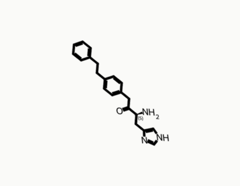 N[C@@H](Cc1c[nH]cn1)C(=O)Cc1ccc(CCc2ccccc2)cc1